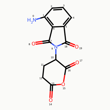 Nc1cccc2c1C(=O)N(C1CCC(=O)OC1=O)C2=O